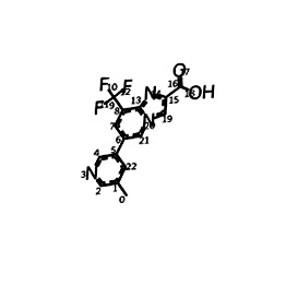 Cc1cncc(-c2cc(C(F)(F)F)c3nc(C(=O)O)cn3c2)c1